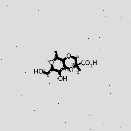 CC1OC(CO)C(O)C2O[C@](C)(C(=O)O)COC12